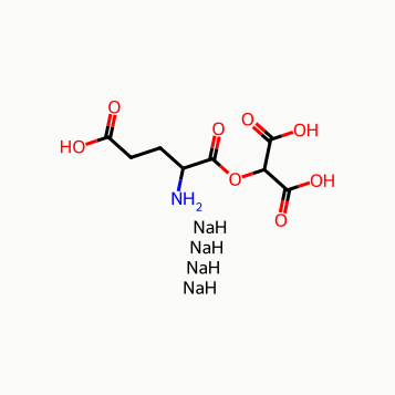 NC(CCC(=O)O)C(=O)OC(C(=O)O)C(=O)O.[NaH].[NaH].[NaH].[NaH]